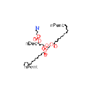 CCCCC/C=C\C/C=C\CCCCCCCC(=O)OCC(COC(=O)CCCCCCC/C=C\C/C=C\CCCCC)OC(=O)CCC(CCCCCCCCCC)OC(=O)OCCCN(C)C